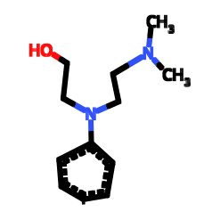 CN(C)CCN(CCO)c1cc[c]cc1